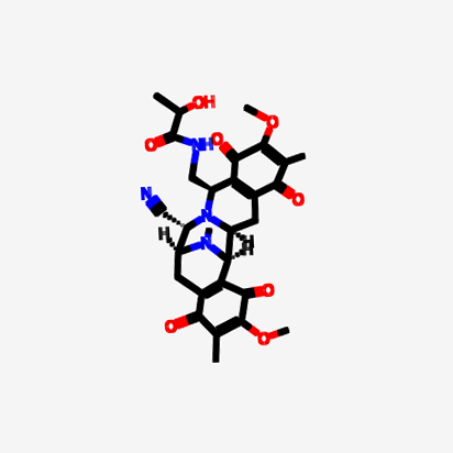 COC1=C(C)C(=O)C2=C(C1=O)[C@@H]1[C@@H]3CC4=C(C(=O)C(OC)=C(C)C4=O)[C@H](CNC(=O)C(C)O)N3[C@@H](C#N)[C@H](C2)N1C